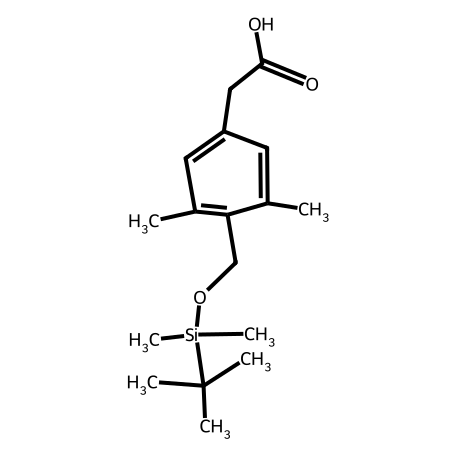 Cc1cc(CC(=O)O)cc(C)c1CO[Si](C)(C)C(C)(C)C